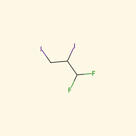 FC(F)C(I)CI